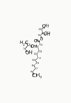 CC(O)CO.CCCCCCCCCCCC(=O)OCC(O)CO